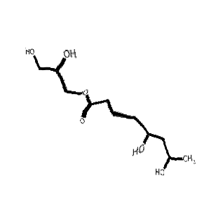 CC(O)CC(O)CCCC(=O)OCC(O)CO